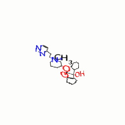 C[N+]1(CCc2ccncn2)CCCC(OC(=O)[C@](O)(c2ccccc2)C2CCCCC2)C1